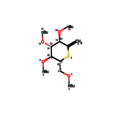 C=C1S[C@H](COCCCC)[C@@H](OCCCC)[C@H](OCCCC)[C@H]1OCCCC